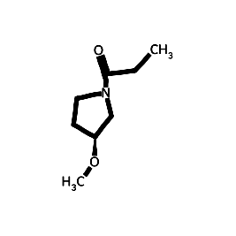 CCC(=O)N1CC[C@H](OC)C1